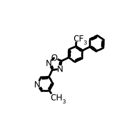 Cc1cncc(-c2noc(-c3ccc(-c4ccccc4)c(C(F)(F)F)c3)n2)c1